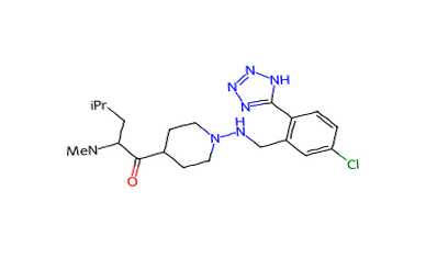 CNC(CC(C)C)C(=O)C1CCN(NCc2cc(Cl)ccc2-c2nnn[nH]2)CC1